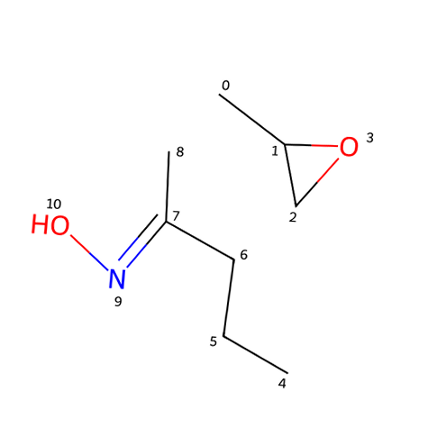 CC1CO1.CCCC(C)=NO